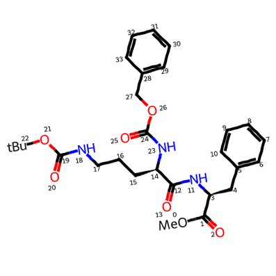 COC(=O)[C@H](Cc1ccccc1)NC(=O)[C@@H](CCCNC(=O)OC(C)(C)C)NC(=O)OCc1ccccc1